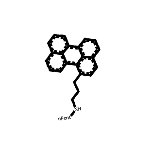 CCCCCNCCCc1ccc2cccc3c4cccc5cccc(c1c23)c54